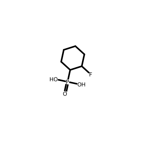 O=P(O)(O)C1CCCCC1F